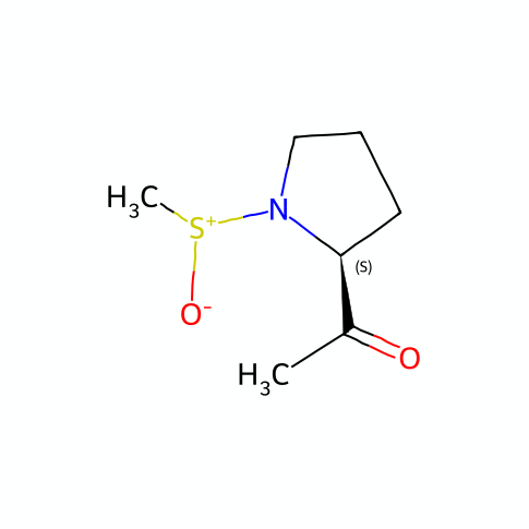 CC(=O)[C@@H]1CCCN1[S+](C)[O-]